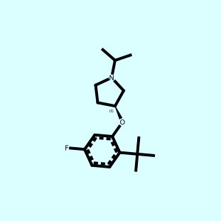 CC(C)N1CC[C@H](Oc2cc(F)ccc2C(C)(C)C)C1